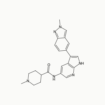 CN1CCC(C(=O)Nc2cnc3[nH]cc(-c4ccc5nn(C)cc5c4)c3c2)CC1